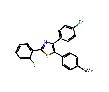 CSc1ccc(-c2sc(-c3ccccc3Cl)nc2-c2ccc(Br)cc2)cc1